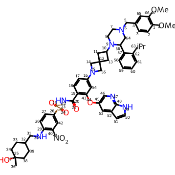 COc1ccc(CN2CCN(C3CC4(C3)CN(c3ccc(C(=O)NS(=O)(=O)c5ccc(NCC6CCC(C)(O)CC6)c([N+](=O)[O-])c5)c(Oc5cnc6[nH]ccc6c5)c3)C4)C(c3ccccc3C(C)C)C2)cc1OC